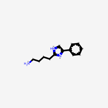 NCCCCc1nc(-c2ccccc2)c[nH]1